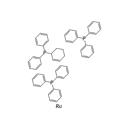 C1=CC(P(c2ccccc2)c2ccccc2)CCC1.[Ru].c1ccc(P(c2ccccc2)c2ccccc2)cc1.c1ccc(P(c2ccccc2)c2ccccc2)cc1